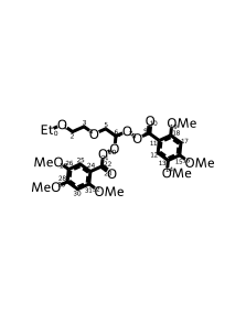 [CH2]COCCOC[C](OOC(=O)c1cc(OC)c(OC)cc1OC)OOC(=O)c1cc(OC)c(OC)cc1OC